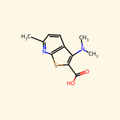 Cc1ccc2c(N(C)C)c(C(=O)O)sc2n1